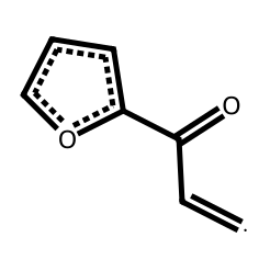 [CH]=CC(=O)c1ccco1